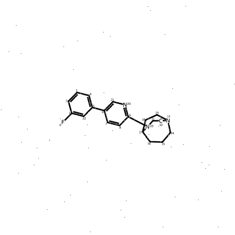 Fc1cccc(-c2ccc(N3CCN4CCCC3CC4)nc2)c1